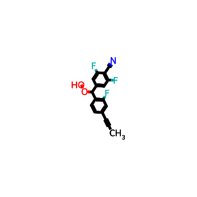 CC#Cc1ccc(C(OO)c2cc(F)c(C#N)c(F)c2)c(F)c1